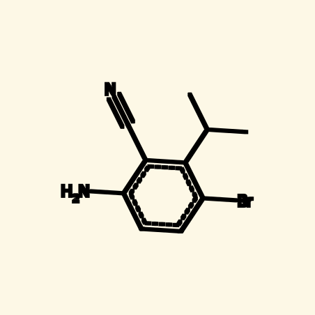 CC(C)c1c(Br)ccc(N)c1C#N